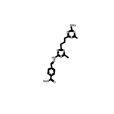 CNC(=O)c1ccc(/C=N/Nc2nc(C)nc(CCCc3nc(C)nc(NC)n3)n2)cc1